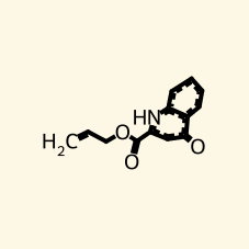 C=CCOC(=O)c1cc(=O)c2ccccc2[nH]1